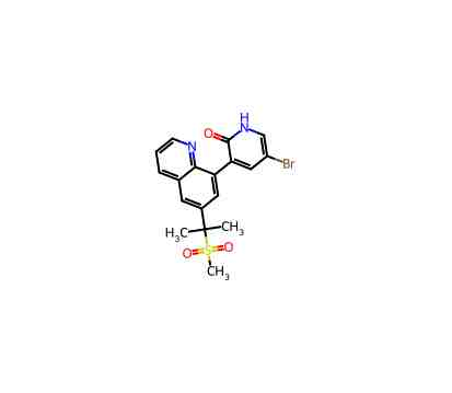 CC(C)(c1cc(-c2cc(Br)c[nH]c2=O)c2ncccc2c1)S(C)(=O)=O